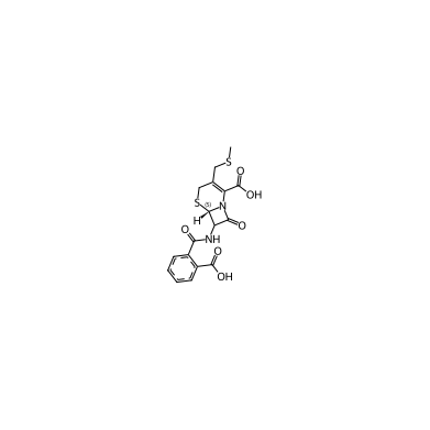 CSCC1=C(C(=O)O)N2C(=O)C(NC(=O)c3ccccc3C(=O)O)[C@@H]2SC1